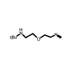 C=NCCOCCNC(C)(C)C